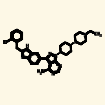 CCN1CCN([C@H]2CC[C@@H](n3nc(-c4ccc5nc(Cc6ccccc6Cl)[nH]c5c4)c4c(N)ncnc43)CC2)CC1